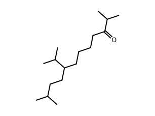 CC(C)CCC(CCCCC(=O)C(C)C)C(C)C